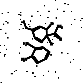 CCC1=CC(Br)C(Br)(C(N)=O)C=C1.Nc1ccccc1N